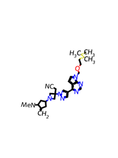 C=C1CC(N2CC(CC#N)(n3cc(-c4ncnc5c4ccn5COCCS(C)(C)C)cn3)C2)CC1NC